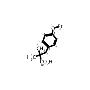 CCOc1ccc(CC(C)(C)C(=O)O)cc1